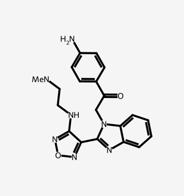 CNCCNc1nonc1-c1nc2ccccc2n1CC(=O)c1ccc(N)cc1